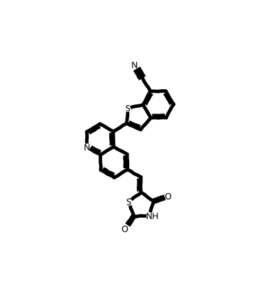 N#Cc1cccc2cc(-c3ccnc4ccc(/C=C5\SC(=O)NC5=O)cc34)sc12